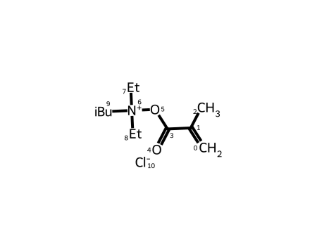 C=C(C)C(=O)O[N+](CC)(CC)C(C)CC.[Cl-]